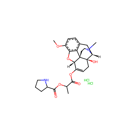 COc1ccc2c3c1O[C@H]1C(OC(=O)C(C)OC(=O)C4CCCN4)=CC[C@@]4(O)[C@@H](C2)N(C)CC[C@]314.Cl.Cl